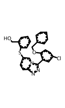 OCc1ccccc1Sc1ccc2nnc(-c3cc(Cl)ccc3OCc3ccccc3)n2c1